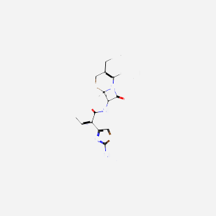 C/C=C(\C(=O)NC1C(=O)N2C(C(=O)O)=C(COC(C)=O)CS[C@@H]12)c1csc(N)n1